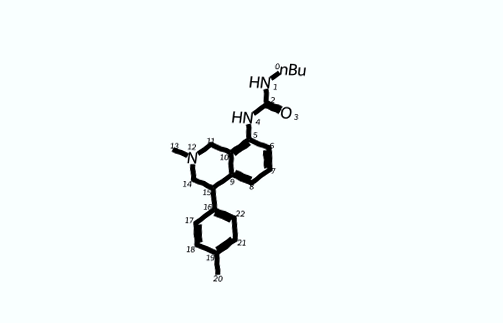 CCCCNC(=O)Nc1cccc2c1CN(C)CC2c1ccc(C)cc1